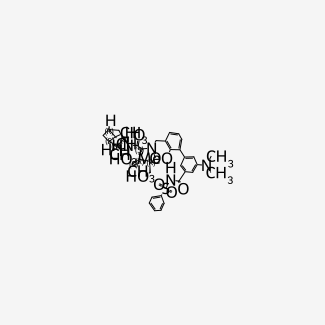 COc1c(CN2O[C@@H](CO)[C@@H]([C@H](C)O)[C@H]2C(=O)N[C@H]2C[C@H]3C[C@@H]([C@@H]2C)C3(C)C)cccc1-c1cc(C(=O)NS(=O)(=O)c2ccccc2)cc(N(C)C)c1